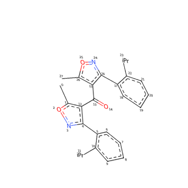 Cc1onc(-c2ccccc2C(C)C)c1C(=O)c1c(-c2ccccc2C(C)C)noc1C